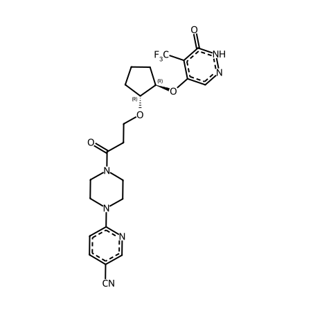 N#Cc1ccc(N2CCN(C(=O)CCO[C@@H]3CCC[C@H]3Oc3cn[nH]c(=O)c3C(F)(F)F)CC2)nc1